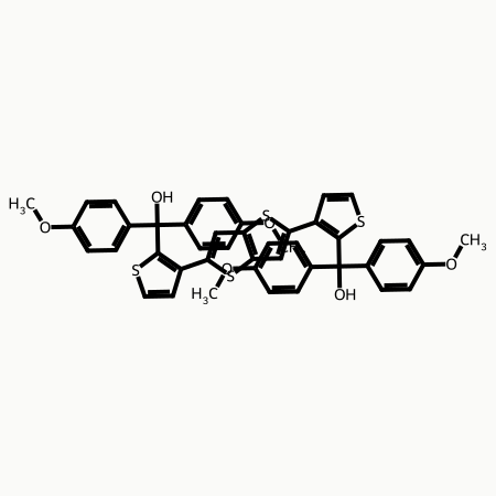 COc1ccc(C(O)(c2ccc(OC)cc2)c2sccc2-c2cc3sc(-c4ccsc4C(O)(c4ccc(OC)cc4)c4ccc(OC)cc4)cc3s2)cc1